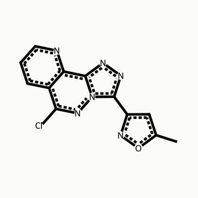 Cc1cc(-c2nnc3c4ncccc4c(Cl)nn23)no1